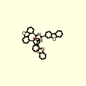 c1ccc(-c2nc(-c3ccc4c(c3)oc3ccccc34)nc(-c3cccc4oc5cccc(-c6cccc(-c7nc8ccccc8s7)c6)c5c34)n2)cc1